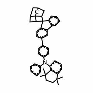 CC1(C)CCC(C)(C)c2c(N(c3ccccc3)c3ccc(-c4ccc5c(c4)-c4ccccc4C54C5CC6CC7CC4C75C6)cc3)cccc21